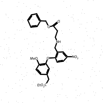 CCOC(=O)Cc1ccc(OC)c(Oc2ccc([N+](=O)[O-])cc2CNCCC(=O)OCc2ccccc2)c1